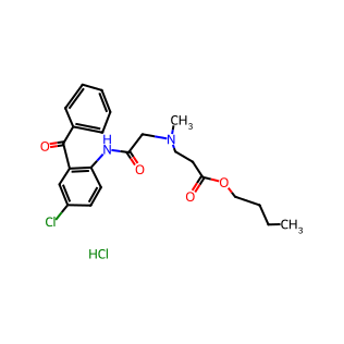 CCCCOC(=O)CCN(C)CC(=O)Nc1ccc(Cl)cc1C(=O)c1ccccc1.Cl